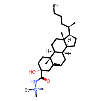 CC[N+](C)(C)NC(=O)[C@@]1(O)CC[C@@]2(C)C(=CC[C@H]3[C@@H]4CC[C@H]([C@H](C)CCCC(C)C)[C@@]4(C)CC[C@@H]32)C1